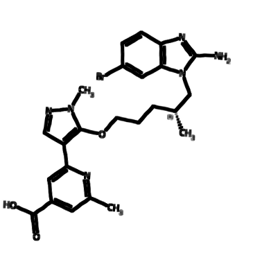 Cc1cc(C(=O)O)cc(-c2cnn(C)c2OCCC[C@@H](C)Cn2c(N)nc3ccc(Br)cc32)n1